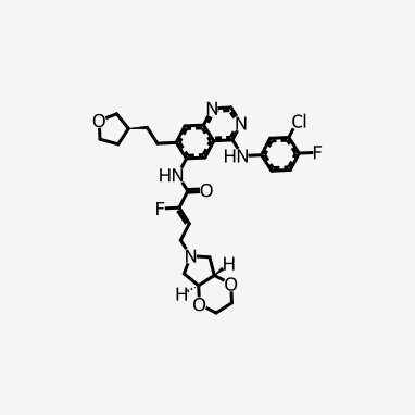 O=C(Nc1cc2c(Nc3ccc(F)c(Cl)c3)ncnc2cc1CC[C@H]1CCOC1)/C(F)=C/CN1C[C@@H]2OCCO[C@H]2C1